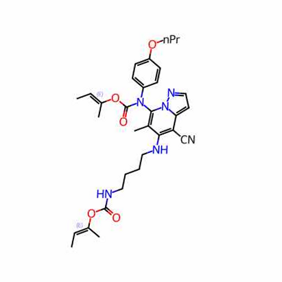 C/C=C(\C)OC(=O)NCCCCNc1c(C)c(N(C(=O)O/C(C)=C/C)c2ccc(OCCC)cc2)n2nccc2c1C#N